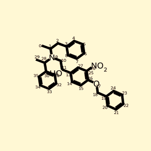 CC(Cc1ccccc1)N(CC(O)c1ccc(OCc2ccccc2)c([N+](=O)[O-])c1)C(C)c1ccccc1